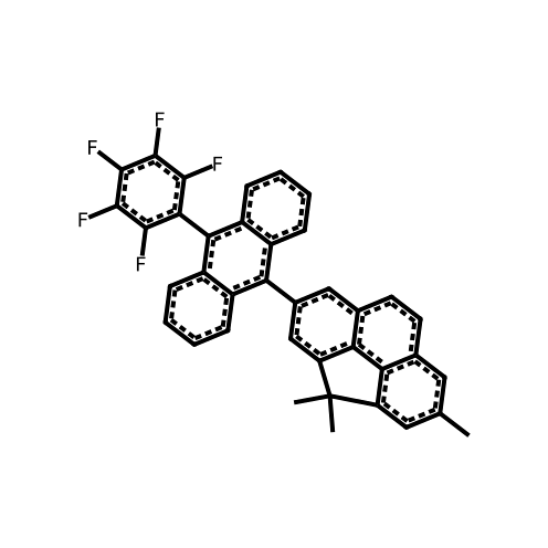 Cc1cc2c3c(ccc4cc(-c5c6ccccc6c(-c6c(F)c(F)c(F)c(F)c6F)c6ccccc56)cc(c43)C2(C)C)c1